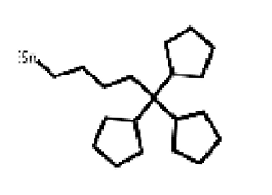 [Sn][CH2]CCCC(C1CCCC1)(C1CCCC1)C1CCCC1